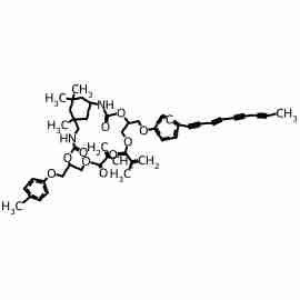 C=C(C)C(=O)OCC(COc1ccc(C)cc1)OC(=O)NCC1(C)CC(NC(=O)OC(COC(=O)C(=C)C)COc2ccc(C#CC#CC#CC#CC)cc2)CC(C)(C)C1